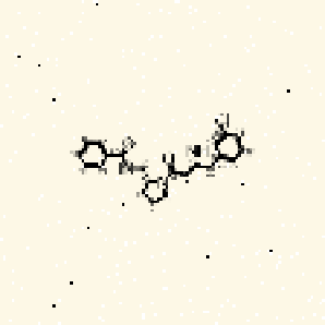 N[C@@H](CC(=O)N1CCC[C@H]1CNC(=O)c1ccccc1)Cc1cccc(Cl)c1